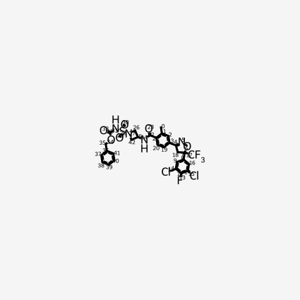 Cc1cc(C2=NOC(c3cc(Cl)c(F)c(Cl)c3)(C(F)(F)F)C2)ccc1C(=O)NC1CN(S(=O)(=O)NC(=O)OCc2ccccc2)C1